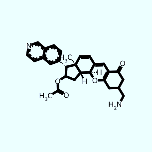 CC(=O)OC1C[C@H]2[C@@H]3OC4=C(C=C3C=C[C@]2(C)[C@H]1c1ccc2cnccc2c1)C(=O)CC(CN)C4